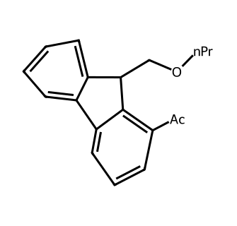 CCCOCC1c2ccccc2-c2cccc(C(C)=O)c21